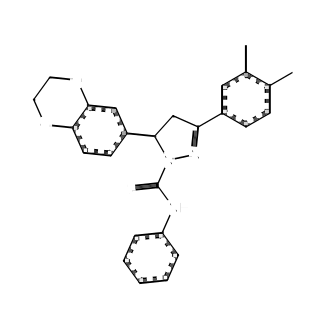 Cc1ccc(C2=NN(C(=S)Nc3ccccc3)C(c3ccc4c(c3)OCCO4)C2)cc1C